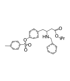 Cc1ccc(S(=O)(=O)Oc2ccc(CC(CC(=O)OC(C)C)NCc3ccccc3)cc2)cc1